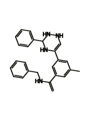 C=C(NCc1ccccc1)c1cc(C)cc(C2=CNNC(c3ccccc3)N2)c1